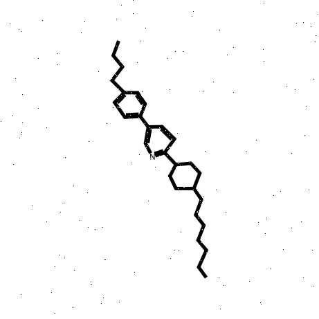 CCCCCCCC1CCC(c2ccc(-c3ccc(CCCC)cc3)cn2)CC1